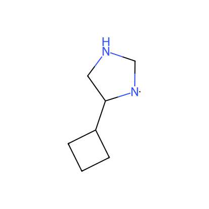 C1CC(C2CNC[N]2)C1